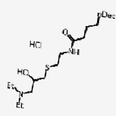 CCCCCCCCCCCCCC(=O)NCCSCC(O)CN(CC)CC.Cl